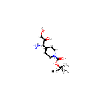 CC(C)(C)OC(=O)N1CCC([C@H](N)C(=O)CO)CC1